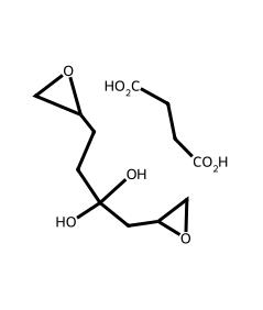 O=C(O)CCC(=O)O.OC(O)(CCC1CO1)CC1CO1